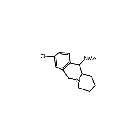 CNC1c2ccc(Cl)cc2CN2CCCCC12